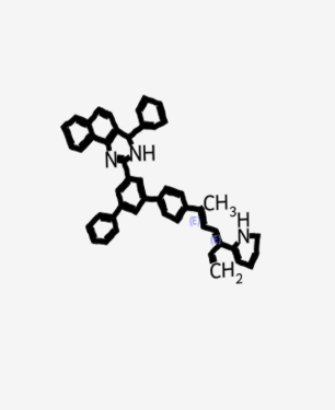 C=C/C(=C\C=C(/C)c1ccc(-c2cc(C3=Nc4c(ccc5ccccc45)C(c4ccccc4)N3)cc(-c3ccccc3)c2)cc1)C1=CC=CCN1